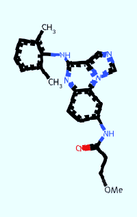 COCCC(=O)Nc1ccc2nc(Nc3c(C)cccc3C)c3cncn3c2c1